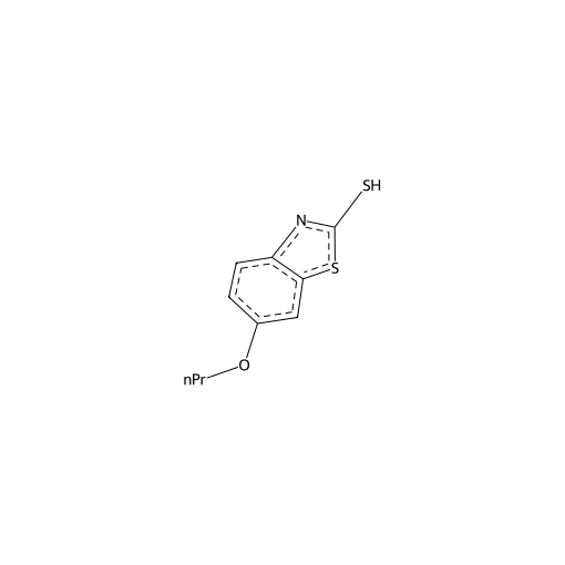 CCCOc1ccc2nc(S)sc2c1